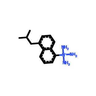 CC(C)Cc1cccc2c([N+](N)(N)N)cccc12